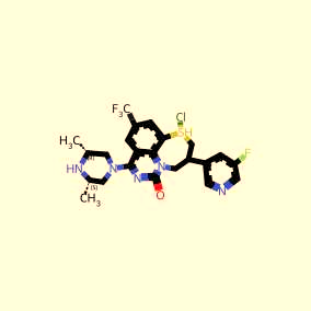 C[C@@H]1CN(c2nc(=O)n3c4c(cc(C(F)(F)F)cc24)[SH](Cl)CC(c2cncc(F)c2)C3)C[C@H](C)N1